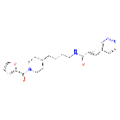 O=C(/C=C/c1ccnnc1)NCCCCC1CCN(C(=O)c2ccco2)CC1